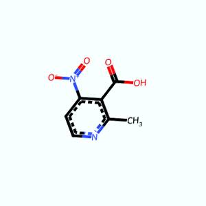 Cc1nccc([N+](=O)[O-])c1C(=O)O